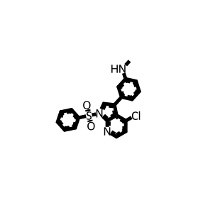 CNc1cccc(-c2cn(S(=O)(=O)c3ccccc3)c3nccc(Cl)c23)c1